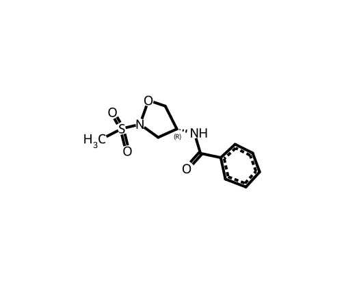 CS(=O)(=O)N1C[C@@H](NC(=O)c2ccccc2)CO1